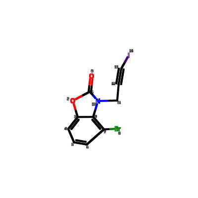 O=c1oc2cccc(Br)c2n1CC#CI